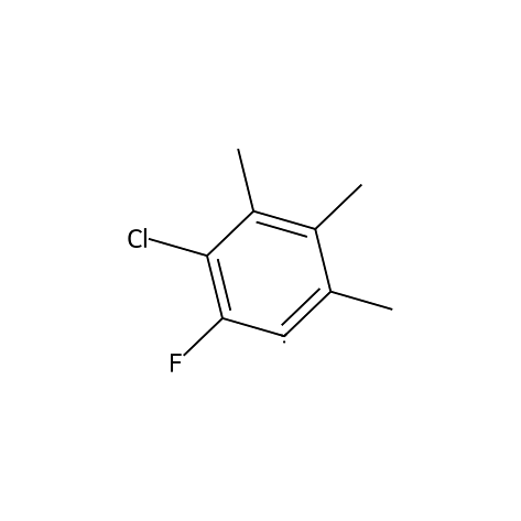 Cc1[c]c(F)c(Cl)c(C)c1C